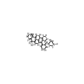 Cc1ccc(-c2c3ccccc3c(-c3ccc4c5c(cccc35)-c3ncccc3C4(C)C)c3ccccc23)cc1